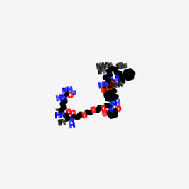 CNC[C@](N)(CC[C@H](C(NC)[C@H](/C=C(\C)C(=O)NS(=O)(=O)c1ccc(NC(COCCOCCOCCC(=O)N[C@@H](C(=O)N[C@H](C)CCCNC(N)=O)C(C)C)N2C(=O)C=CC2=O)c(C)c1C)C(C)C)C(C)(C)C)c1ccccc1